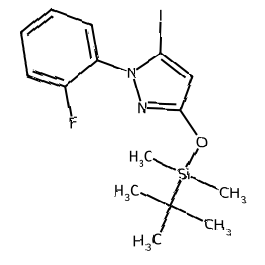 CC(C)(C)[Si](C)(C)Oc1cc(I)n(-c2ccccc2F)n1